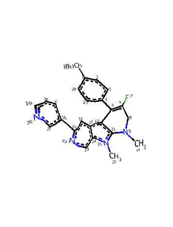 CC(C)COc1ccc(C2=C(F)CN(C)c3c2c2cc(-c4cccnc4)ncc2n3C)cc1